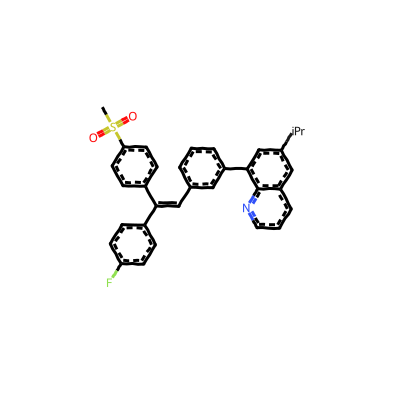 CC(C)c1cc(-c2cccc(C=C(c3ccc(F)cc3)c3ccc(S(C)(=O)=O)cc3)c2)c2ncccc2c1